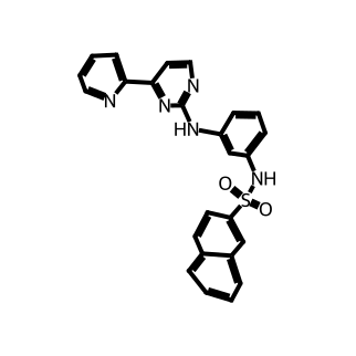 O=S(=O)(Nc1cccc(Nc2nccc(-c3ccccn3)n2)c1)c1ccc2ccccc2c1